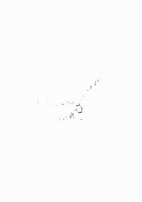 CCCCCCCCCCc1cccc(OP(O)O)c1CCCCCCCCCC